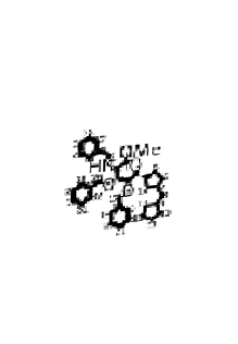 COC1O[C@H](C2CCC(CC3CCCC3)C2)[C@H](OCc2ccccc2)[C@H](OCc2ccccc2)[C@H]1NCc1ccccc1